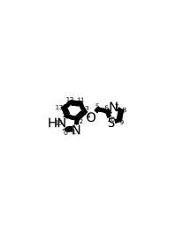 [c]1nc2c(OCc3nccs3)cccc2[nH]1